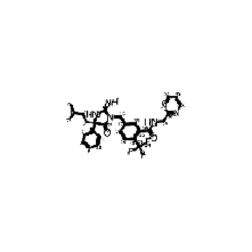 CC(C)CCC1(c2ccccc2)NC(=N)N(Cc2ccc(C(F)(F)F)c(C(=O)NCc3ncccn3)c2)C1=O